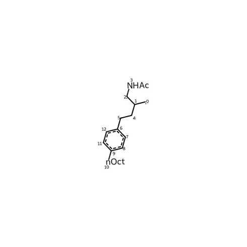 [CH2]C([CH]NC(C)=O)CCc1ccc(CCCCCCCC)cc1